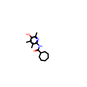 Cc1nc(NC(=O)C2CCCCCC2)c(C)c(C)c1O